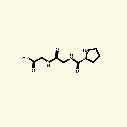 O=C(O)CNC(=O)CNC(=O)[C@@H]1CCCN1